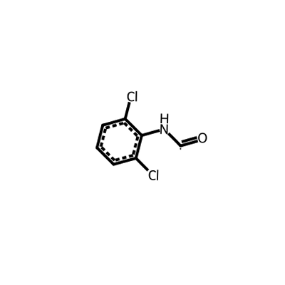 O=[C]Nc1c(Cl)cccc1Cl